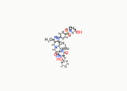 CCCCN1C(=O)[C@@H](CC2(O)CCCCC2)NC(=O)C12CCN(Cc1c(C)nn(-c3ccc(S(=O)(=O)N(C)CCO)cc3)c1C)CC2